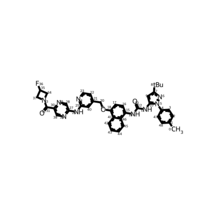 Cc1ccc(-n2nc(C(C)(C)C)cc2NC(=O)Nc2ccc(OCc3ccnc(Nc4cnc(C(=O)N5CC(F)C5)cn4)c3)c3ccccc23)cc1